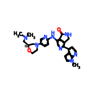 CN(C)C[C@H]1CN(c2ccc(Nc3cnc(-c4ccnc5c4ccn5C)c4c3C(=O)NC4)nc2)CCO1